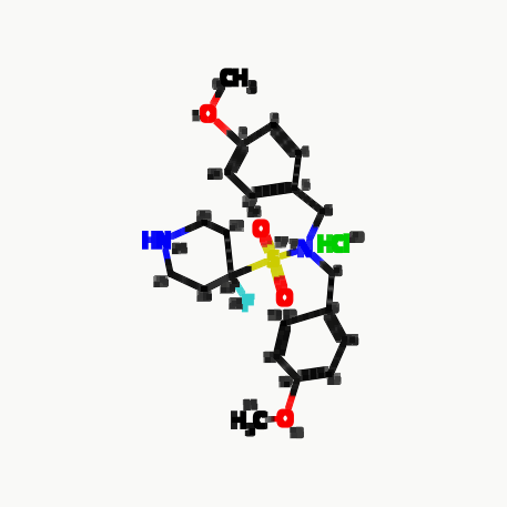 COc1ccc(CN(Cc2ccc(OC)cc2)S(=O)(=O)C2(F)CCNCC2)cc1.Cl